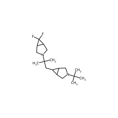 CC(C)(C)N1CC2C(C1)C2CC(C)(C)N1CC2C(C1)C2(F)F